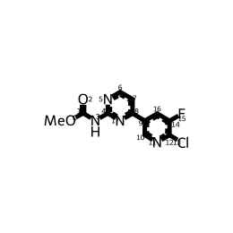 COC(=O)Nc1nccc(-c2cnc(Cl)c(F)c2)n1